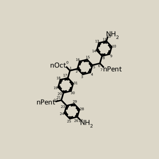 CCCCCCCCC(c1ccc(C(CCCCC)c2ccc(N)cc2)cc1)c1ccc(C(CCCCC)c2ccc(N)cc2)cc1